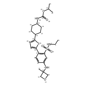 CCNS(=O)(=O)c1cc(NC2(C)COC2)ccc1-c1cnc(C2CCC(NC(=O)OC(C)C)CC2)s1